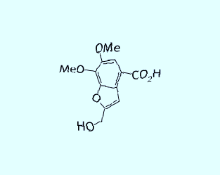 COc1cc(C(=O)O)c2cc(CO)oc2c1OC